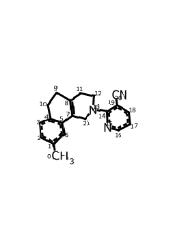 Cc1ccc2c(c1)C1=C(CC2)CCN(c2ncccc2C#N)C1